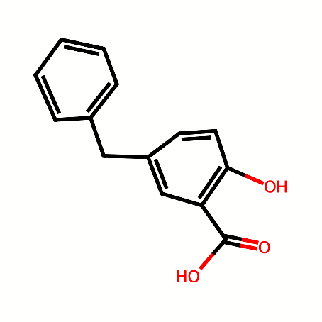 O=C(O)c1cc(Cc2ccccc2)ccc1O